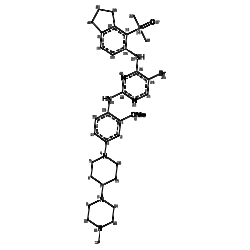 COc1cc(N2CCC(N3CCN(C)CC3)CC2)ccc1Nc1ncc(Br)c(Nc2ccc3c(c2P(C)(C)=O)CCC3)n1